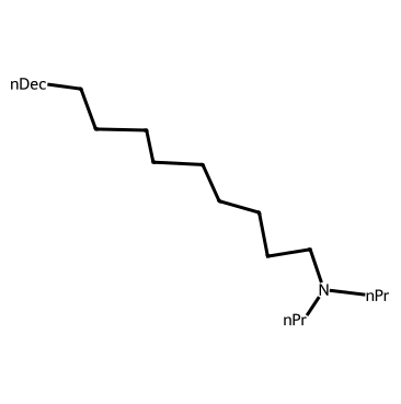 CCCCCCCCCCCCCCCCCCCN(CCC)CCC